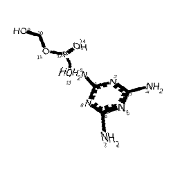 Nc1nc(N)nc(N)n1.OCOP(O)O